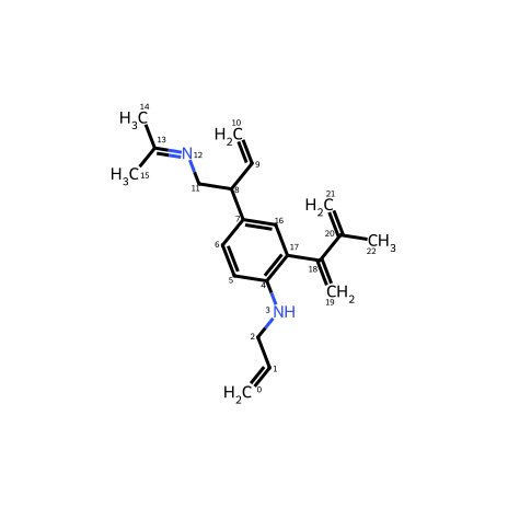 C=CCNc1ccc(C(C=C)CN=C(C)C)cc1C(=C)C(=C)C